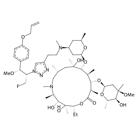 C=CCOc1ccc([C@@H](OC)[C@@H](CF)n2cc(CCN(C)[C@@H]3C[C@H](O[C@@H]4[C@@H](C)[C@H](O[C@H]5C[C@@](C)(OC)[C@@H](O)[C@H](C)O5)[C@@H](C)C(=O)O[C@H](CC)[C@@](C)(O)[C@H](O)[C@@H](C)N(C)C[C@H](C)C[C@@]4(C)O)O[C@H](C)C3)nn2)cc1